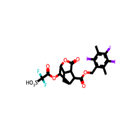 Cc1c(I)c(I)c(C)c(COC(=O)C2C3CC4C(OC(=O)C42)C3OC(=O)C(F)(F)S(=O)(=O)O)c1I